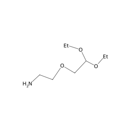 CCOC(COCCN)OCC